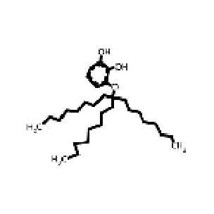 CCCCCCCCC(CCCCCCCC)(CCCCCCCC)Oc1cccc(O)c1O